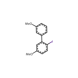 COc1cccc(-c2cc(OC)ccc2I)c1